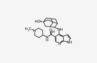 CN1CCC(NC(=O)c2cnc3[nH]ccc3c2N[C@H]2C3CC4CC2C[C@@](O)(C4)C3)CC1